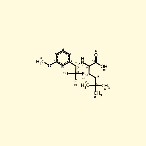 COc1cccc([C@H](NC(CCC(C)(C)C)C(=O)O)C(F)(F)F)c1